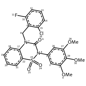 COc1cc(N2C(=O)N(Cc3c(F)cccc3Cl)c3ccccc3S2(=O)=O)cc(OC)c1OC